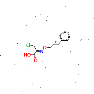 O=C(O)C(CCl)=NOC/C=C/c1ccccc1